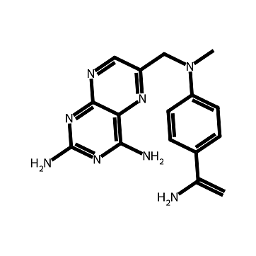 C=C(N)c1ccc(N(C)Cc2cnc3nc(N)nc(N)c3n2)cc1